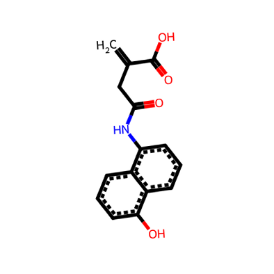 C=C(CC(=O)Nc1cccc2c(O)cccc12)C(=O)O